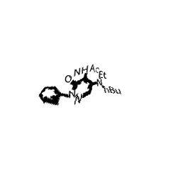 CCCCN(CC)c1cnn(-c2ccccc2)c(=O)c1NC(C)=O